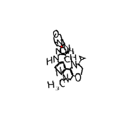 CN1CC2=C(N[C@@H](C3CC3)CCO2)c2cc(Nc3nc(N4C5COCC4CC(O)C5)ncc3Cl)cnc21